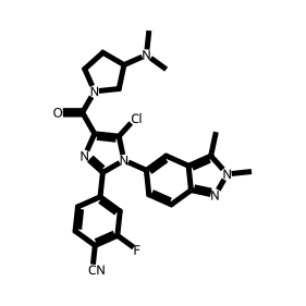 Cc1c2cc(-n3c(-c4ccc(C#N)c(F)c4)nc(C(=O)N4CCC(N(C)C)C4)c3Cl)ccc2nn1C